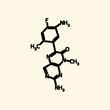 Cc1cc(F)c(N)cc1-c1nc2cnc(N)nc2n(C)c1=O